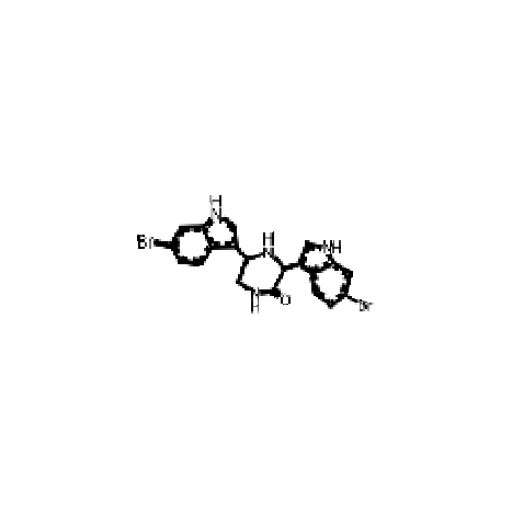 O=C1NCC(c2c[nH]c3cc(Br)ccc23)NC1c1c[nH]c2cc(Br)ccc12